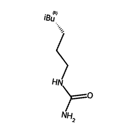 CC[C@@H](C)CCCNC(N)=O